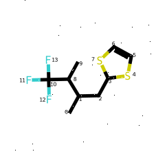 CC(CC1SC=CS1)C(C)C(F)(F)F